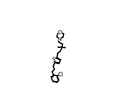 CC(C)(CCc1ccc(CCCc2ccccc2Cl)s1)CCN1CCOCC1